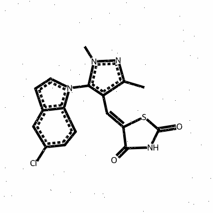 Cc1nn(C)c(-n2ccc3cc(Cl)ccc32)c1C=C1SC(=O)NC1=O